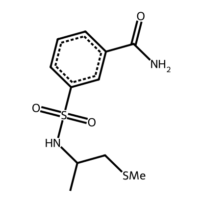 CSCC(C)NS(=O)(=O)c1cccc(C(N)=O)c1